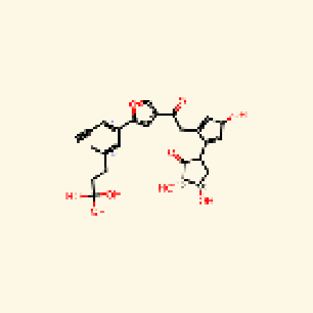 C#C/C=C(\C=C(/C)CCC(O)(O)O)c1cc(C(=O)CC2=CC(O)C=C2C2C[C@@H](O)[C@H](O)C2=O)co1